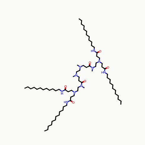 CCCCCCCCCCCCNC(=O)CCN(CCC(=O)NCCCCCCCCCCCC)CCN(C)C(=O)CCN(C)CCN(C)CCC(=O)N(C)CCN(CCC(=O)NCCCCCCCCCCCC)CCC(=O)NCCCCCCCCCCCC